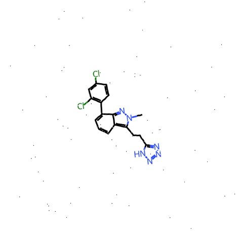 Cn1nc2c(-c3ccc(Cl)cc3Cl)cccc2c1CCc1nnn[nH]1